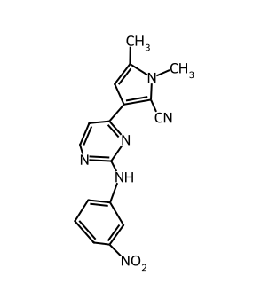 Cc1cc(-c2ccnc(Nc3cccc([N+](=O)[O-])c3)n2)c(C#N)n1C